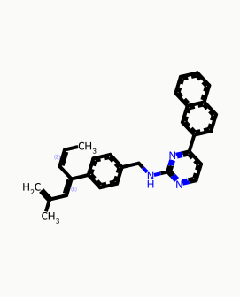 C=C(C)/C=C(\C=C/C)c1ccc(CNc2nccc(-c3ccc4ccccc4c3)n2)cc1